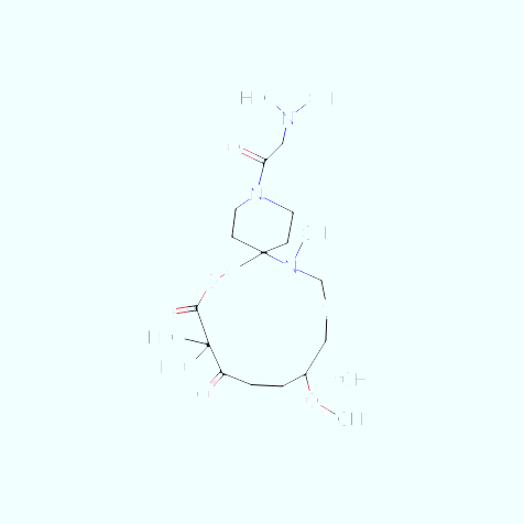 CO[C@]1(C)CCCN(C)C2(CCN(C(=O)CN(C)C)CC2)COC(=O)C(C)(C)C(=O)CC1